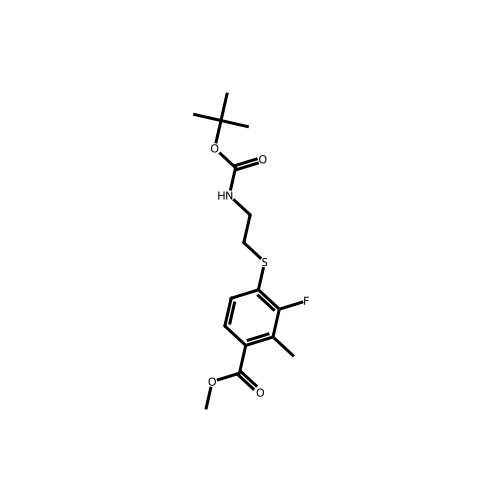 COC(=O)c1ccc(SCCNC(=O)OC(C)(C)C)c(F)c1C